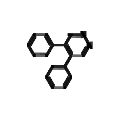 [c]1nncc(-c2ccccc2)c1-c1ccccc1